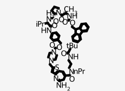 CCCN(CCCNC(=O)CC(C)(C)C)C(=O)C1=Cc2sc(CN3CCN(C(=O)OCc4ccc(NC(=O)C(NC(=O)[C@@H]5CCCN5C(=O)[C@@H](C)NC(=O)OCC5c6ccccc6-c6ccccc65)C(C)C)cc4)CC3)cc2N=C(N)C1